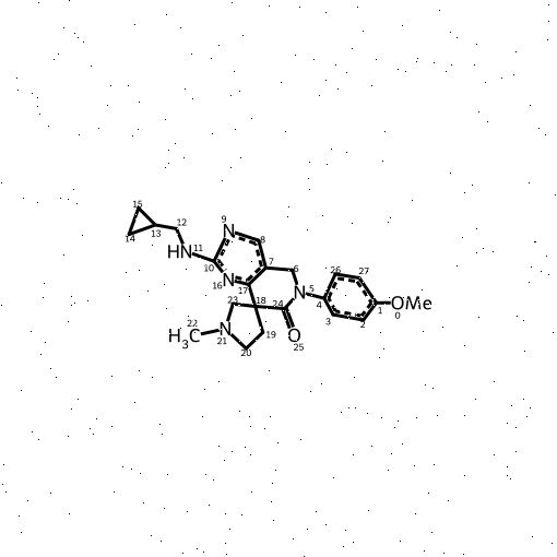 COc1ccc(N2Cc3cnc(NCC4CC4)nc3C3(CCN(C)C3)C2=O)cc1